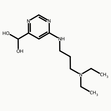 CCN(CC)CCCNc1cc(C(O)O)ncn1